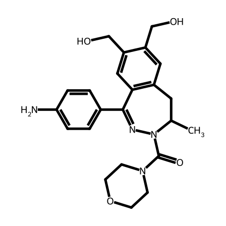 CC1Cc2cc(CO)c(CO)cc2C(c2ccc(N)cc2)=NN1C(=O)N1CCOCC1